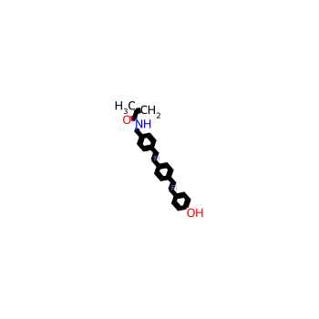 C=C(C)C(=O)NCc1ccc(/C=C/c2ccc(/C=C/c3ccc(O)cc3)cc2)cc1